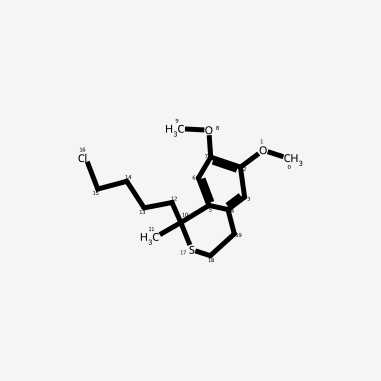 COc1cc2c(cc1OC)C(C)(CCCCCl)SCC2